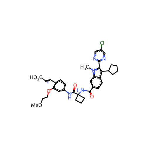 COCCOc1cc(NC(=O)C2(NC(=O)c3ccc4c(C5CCCC5)c(-c5ncc(Cl)cn5)n(C)c4c3)CCC2)ccc1/C=C/C(=O)O